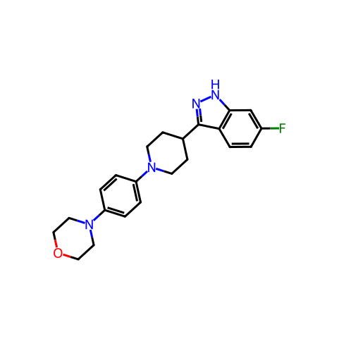 Fc1ccc2c(C3CCN(c4ccc(N5CCOCC5)cc4)CC3)n[nH]c2c1